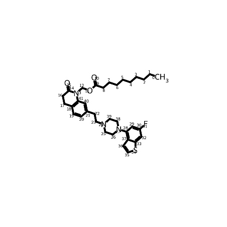 CCCCCCCCCC(=O)OCN1C(=O)CCc2ccc(CCN3CCN(c4cc(F)cc5sccc45)CC3)cc21